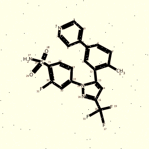 Cc1ccc(-c2ccncc2)cc1-c1cc(C(F)(F)F)nn1-c1ccc(S(N)(=O)=O)c(F)c1